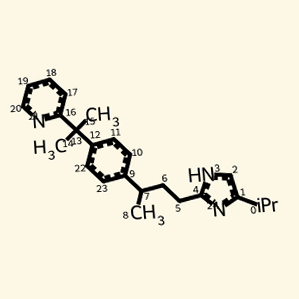 CC(C)c1c[nH]c(CCC(C)c2ccc(C(C)(C)c3ccccn3)cc2)n1